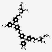 C=C(COC(=O)Cc1ccc(N(c2ccc(C)cc2)c2ccc(/C=C/c3ccc(N(c4ccc(C)cc4)c4ccc(CC(=O)OCC(=C)C(=O)OCC)cc4)cc3)cc2)cc1)C(=O)OCC